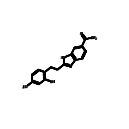 NC(=O)c1ccc2nc(CCc3ccc(O)cc3O)[nH]c2c1